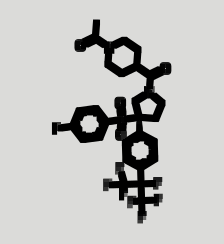 CC(=O)N1CCC(C(=O)N2CC[C@](c3ccc(C(F)(C(F)(F)F)C(F)(F)F)cc3)(S(=O)(=O)c3ccc(F)cc3)C2)CC1